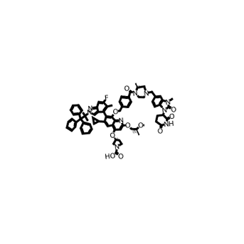 CO[C@@H](C)COc1cc(O[C@H]2CCN(C(=O)O)C2)c2cc(C3CC3)c(-c3c(C)c(F)cc4nn(C(C)(C)C(c5ccccc5)(c5ccccc5)c5ccccc5)cc34)c(OCc3ccc(C(=O)N4CCN(Cc5ccc6c(c5)n(C)c(=O)n6C5CCC(=O)NC5=O)C[C@@H]4C)cc3)c2n1